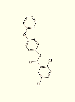 O=C(Oc1ccc(Oc2ccccc2)cc1)c1cc(Cl)ccc1Cl